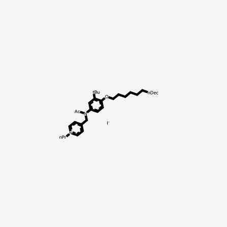 CCCCCCCCCCCCCCCCOc1ccc(N(Cc2cc[n+](CCC)cc2)C(C)=O)cc1C(C)(C)C.[I-]